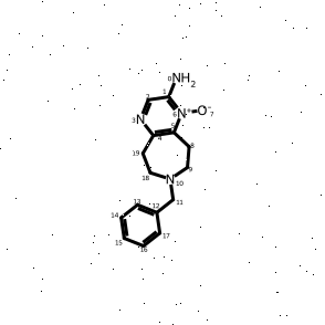 Nc1cnc2c([n+]1[O-])CCN(Cc1ccccc1)CC2